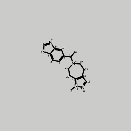 CC(c1ccc2scnc2c1)N1CCc2cnn(C)c2CC1